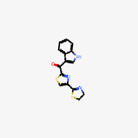 O=C(c1nc(C2=NCCS2)cs1)c1c[nH]c2ccccc12